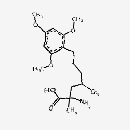 COc1cc(OC)c(CCCC(C)CC(C)(N)C(=O)O)c(OC)c1